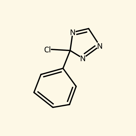 ClC1(c2ccccc2)N=CN=N1